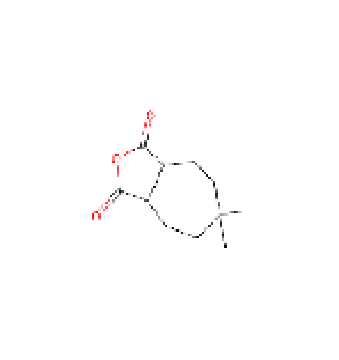 CC1(C)CCC2C(=O)OC(=O)C2CC1